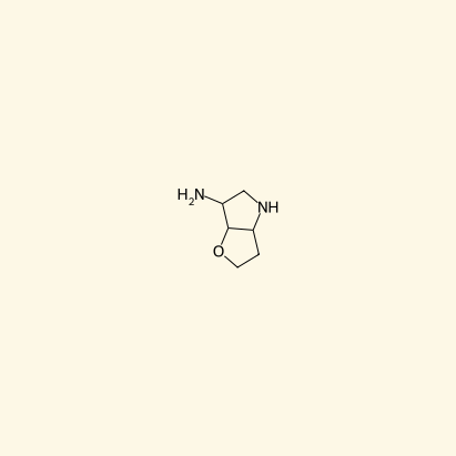 NC1CNC2CCOC12